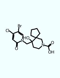 O=C(O)N1CCC(O)(Cn2cc(Br)c(Cl)cc2=O)C2(CCCC2)C1